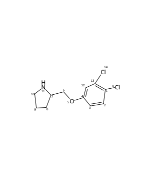 Clc1ccc(OCC2CCCN2)cc1Cl